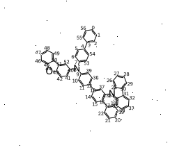 c1ccc(-c2ccc(N(c3ccc(-c4ccc(-c5ccccc5)c(-n5c6ccccc6c6ccccc65)c4)cc3)c3ccc4oc5ccccc5c4c3)cc2)cc1